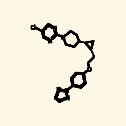 Clc1cnc(N2CCC([C@@H]3C[C@@H]3CCOc3ccc(-n4nccn4)cc3)CC2)nc1